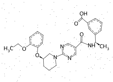 CCOc1ccccc1O[C@@H]1CCCN(c2ncc(C(=O)N[C@H](C)c3cccc(C(=O)O)c3)cn2)C1